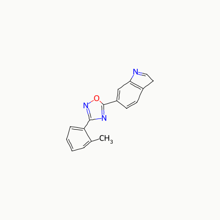 Cc1ccccc1-c1noc(-c2ccc3c(c2)N=CC3)n1